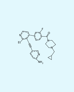 CCc1nccc(-c2ccc(C(=O)N3CCN(CC4CC4)CC3)c(F)c2)c1C#Cc1ccc(N)nc1